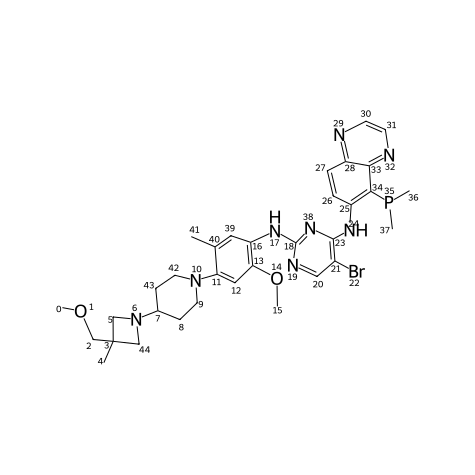 COCC1(C)CN(C2CCN(c3cc(OC)c(Nc4ncc(Br)c(Nc5ccc6nccnc6c5P(C)C)n4)cc3C)CC2)C1